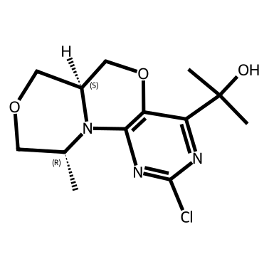 C[C@@H]1COC[C@H]2COc3c(nc(Cl)nc3C(C)(C)O)N21